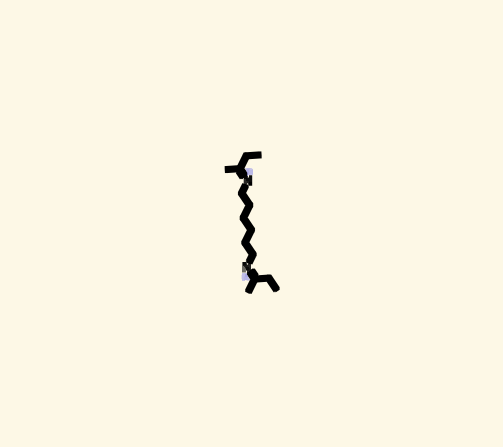 CC/C(C)=N\CCCCCC/N=C(\C)CC